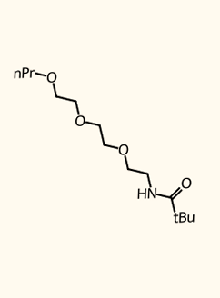 CCCOCCOCCOCCNC(=O)C(C)(C)C